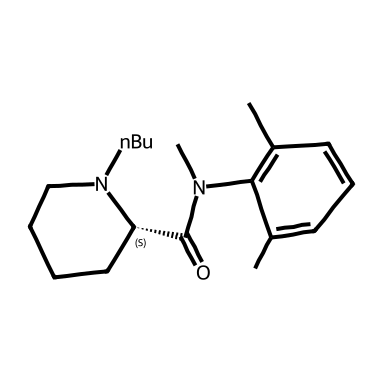 CCCCN1CCCC[C@H]1C(=O)N(C)c1c(C)cccc1C